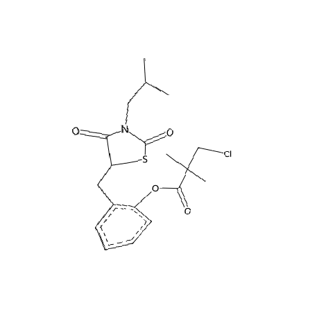 CC(C)CN1C(=O)SC(Cc2ccccc2OC(=O)C(C)(C)CCl)C1=O